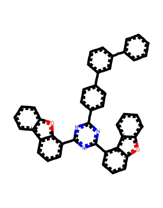 c1ccc(-c2cccc(-c3ccc(-c4nc(-c5cccc6c5oc5ccccc56)nc(-c5cccc6oc7ccccc7c56)n4)cc3)c2)cc1